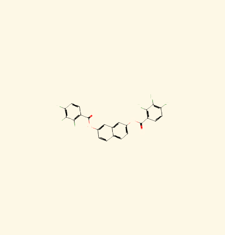 O=C(Oc1ccc2ccc(OC(=O)c3ccc(F)c(F)c3F)cc2c1)c1ccc(F)c(F)c1F